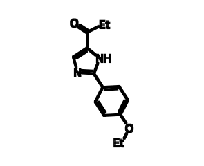 CCOc1ccc(-c2ncc(C(=O)CC)[nH]2)cc1